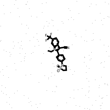 CCn1c(-c2ccc(N3CCCS3(=O)=O)cc2)c(C#N)c2ccc(C(F)(F)F)cc21